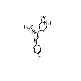 C=N/C(=C\N=C1\C=CC(F)=CC1)N1CCNC(C(C)C)C1